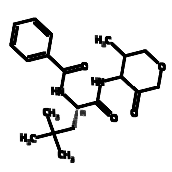 CC1COCC(=O)C1NC(=O)[C@H](CC(C)(C)C)NC(=O)c1ccccc1